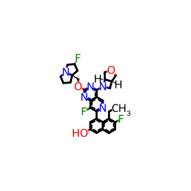 CCc1c(F)ccc2cc(O)cc(-c3ncc4c(N5C[C@@H]6COC[C@@H]65)nc(OC[C@@]56CCCN5C[C@H](F)C6)nc4c3F)c12